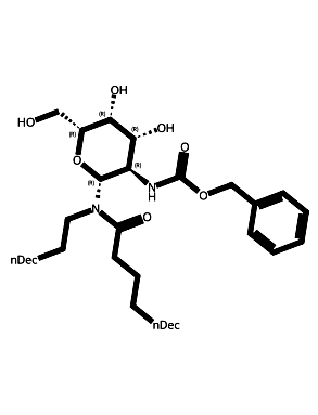 CCCCCCCCCCCCCC(=O)N(CCCCCCCCCCCC)[C@@H]1O[C@H](CO)[C@H](O)[C@H](O)[C@H]1NC(=O)OCc1ccccc1